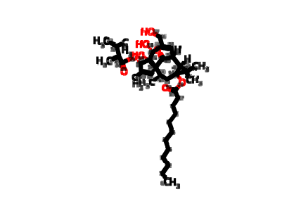 CCCCCCCCCCCC(=O)O[C@@]12C[C@@H](C)[C@]34C=C(C)[C@H](OC(=O)C(C)C(C)C)[C@@]3(O)[C@H](O)C(CO)=C[C@H](C4=O)[C@@H]1C2(C)C